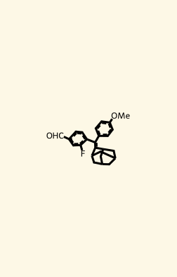 COc1ccc(C(=C2C3CC4CC(C3)CC2C4)c2ccc(C=O)cc2F)cc1